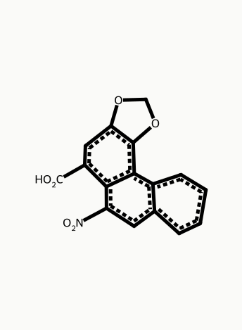 O=C(O)c1cc2c(c3c1c([N+](=O)[O-])cc1ccccc13)OCO2